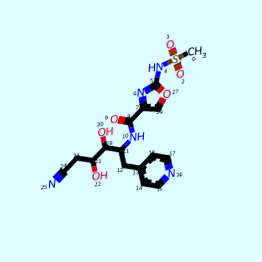 CS(=O)(=O)Nc1nc(C(=O)NC(Cc2ccncc2)C(O)C(O)CC#N)co1